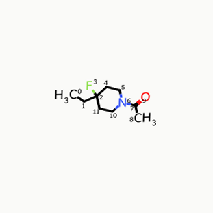 CCC1(F)CCN(C(C)=O)CC1